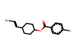 CCc1ccc(C(=O)OC2CCC(C=CC#N)CC2)cc1